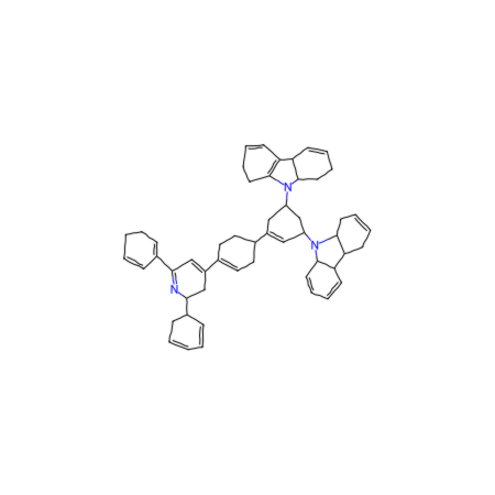 C1=CCC(C2CC(C3=CCC(C4=CC(N5C6C=CC=CC6C6CC=CCC65)CC(N5C6=C(C=CCC6)C6C=CCCC65)C4)CC3)=CC(C3=CCCC=C3)=N2)C=C1